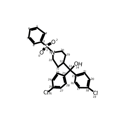 O=S(=O)(c1ccccc1)N1CCC(C(O)(c2ccc(Cl)cc2)c2ccc(Cl)cc2)CC1